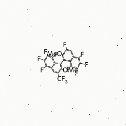 COc1c(F)cc2c(F)c(F)c(F)c(F)c2c1-c1c(OC)c(C(F)(F)F)cc2c(F)c(F)c(F)c(F)c12